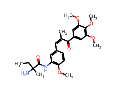 CCC(C)(N)C(=O)Nc1cc(C=C(C)C(=O)c2cc(OC)c(OC)c(OC)c2)ccc1OC